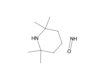 CC1(C)CCCC(C)(C)N1.N=O